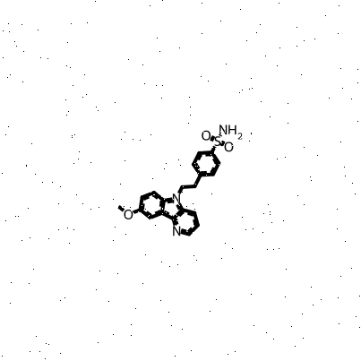 COc1ccc2c(c1)c1ncccc1n2CCc1ccc(S(N)(=O)=O)cc1